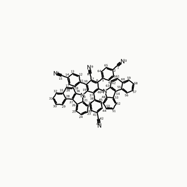 N#Cc1ccc(-c2c(C#N)c(-c3ccc(C#N)cc3)c(-n3c4ccccc4c4c5ccccc5ccc43)c(-c3ccc(C#N)cc3)c2-n2c3ccccc3c3c4ccccc4ccc32)cc1